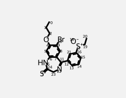 CCCOc1cc2c(cc1Br)C(c1cccc([S+]([O-])CC)c1)=NCC(=S)N2